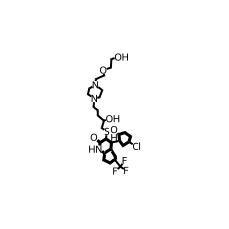 O=c1[nH]c2ccc(C(F)(F)F)cc2c(-c2cc(Cl)ccc2O)c1SCC(O)CCCN1CCN(CCOCCO)CC1